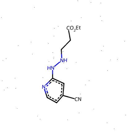 CCOC(=O)CCNNc1cc(C#N)ccn1